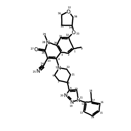 Cc1cc2c(N3CCC(c4cn(-c5ccccc5C)nn4)CC3)c(C#N)c(=O)n(C)c2cc1OC1CCOC1